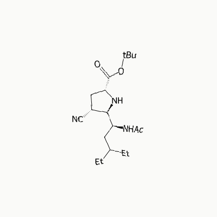 CCC(CC)C[C@H](NC(C)=O)[C@@H]1N[C@@H](C(=O)OC(C)(C)C)C[C@H]1C#N